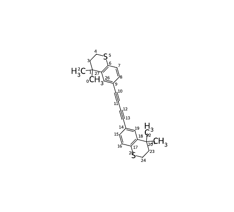 CC1(C)CCSc2ccc(C#CC#Cc3ccc4c(c3)C(C)(C)CCS4)cc21